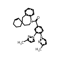 Cc1ccn(-c2ccc(C(=O)N3CCC4(C=CCCC4)Cc4ccccc43)cc2-n2ccc(C)n2)n1